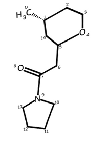 C[C@@H]1CCOC(CC(=O)N2CCCC2)C1